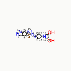 Cn1ncc2cc3sc(/N=N/c4ccc(N(CCO)CCO)cc4)[n+](C)c3cc21